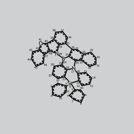 c1ccc([Si]2(c3ccccc3)c3ccccc3N3c4c(cccc42)B2c4c(cc5ccccc5c43)-c3cccc4c5oc6ccccc6c5n2c34)cc1